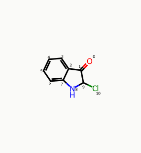 O=C1c2ccccc2NC1Cl